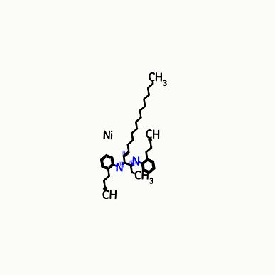 C#CCCc1ccccc1/N=C(\C=C\CCCCCCCCCCCCC)C(/CC)=N/c1ccccc1CCC#C.[Ni]